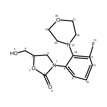 O=C1OC(CO)CN1c1cccc(F)c1N1CCOCC1